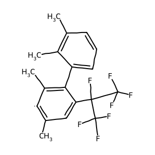 Cc1[c]c(C)c(-c2cccc(C)c2C)c(C(F)(C(F)(F)F)C(F)(F)F)c1